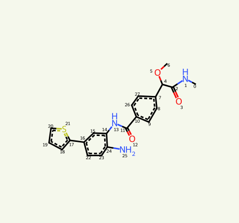 CNC(=O)C(OC)c1ccc(C(=O)Nc2cc(-c3cccs3)ccc2N)cc1